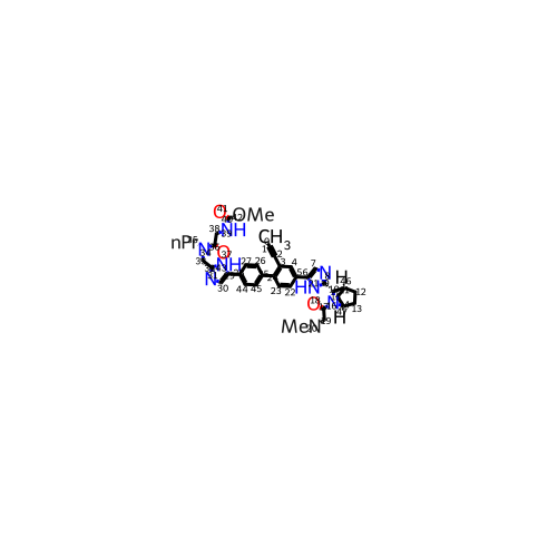 CC#Cc1cc(-c2cnc([C@@H]3[C@H]4CC[C@H](C4)N3C(=O)CNC)[nH]2)ccc1-c1ccc(-c2cnc(CN(CCC)C(=O)CNC(=O)OC)[nH]2)cc1